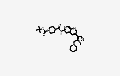 Cn1ncc(-c2cnc3cnc(NC(=O)C4CCN(C(=O)OC(C)(C)C)CC4)cc3c2)c1CN1CCCCC1